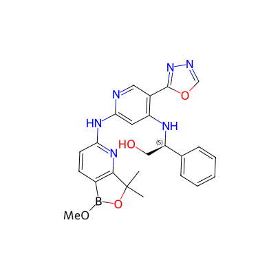 COB1OC(C)(C)c2nc(Nc3cc(N[C@H](CO)c4ccccc4)c(-c4nnco4)cn3)ccc21